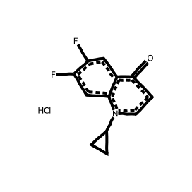 Cl.O=c1ccn(C2CC2)c2cc(F)c(F)cc12